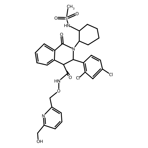 CS(=O)(=O)NC1CCCCC1N1C(=O)c2ccccc2C(C(=O)NOCc2cccc(CO)n2)C1c1ccc(Cl)cc1Cl